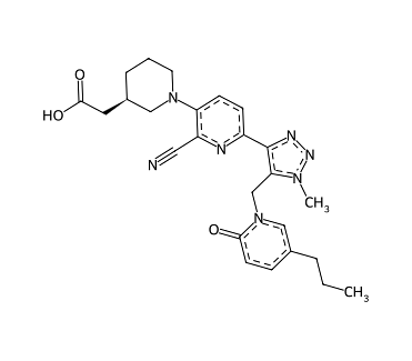 CCCc1ccc(=O)n(Cc2c(-c3ccc(N4CCC[C@H](CC(=O)O)C4)c(C#N)n3)nnn2C)c1